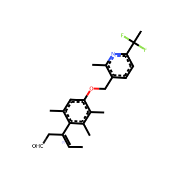 C/C=C(/CC=O)c1c(C)cc(OCc2ccc(C(C)(F)F)nc2C)c(C)c1C